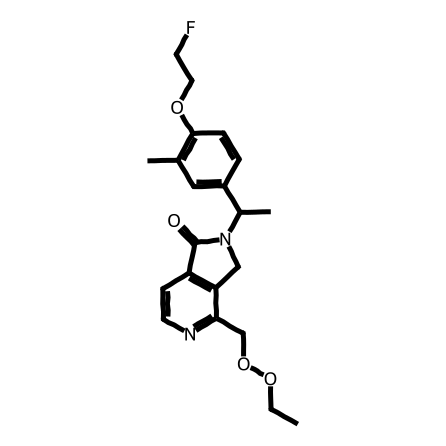 CCOOCc1nccc2c1CN(C(C)c1ccc(OCCF)c(C)c1)C2=O